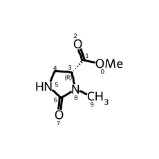 COC(=O)[C@H]1CNC(=O)N1C